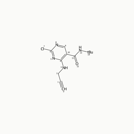 C#CCNc1nc(Cl)ncc1C(=O)NC(C)(C)C